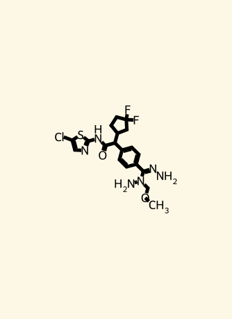 COCN(N)/C(=N\N)c1ccc(C(C(=O)Nc2ncc(Cl)s2)C2CCC(F)(F)C2)cc1